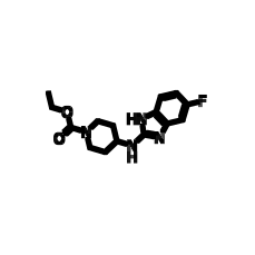 CCOC(=O)N1CCC(Nc2nc3cc(F)ccc3[nH]2)CC1